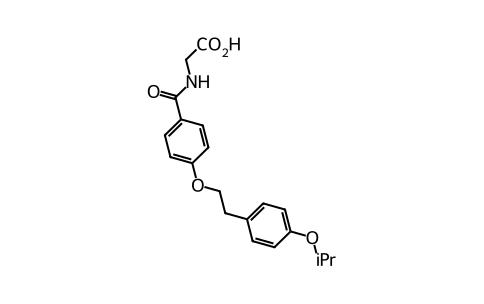 CC(C)Oc1ccc(CCOc2ccc(C(=O)NCC(=O)O)cc2)cc1